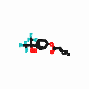 C=CC(=O)OC1CC2CC1CC2C(O)(C(F)(F)F)C(F)(F)F